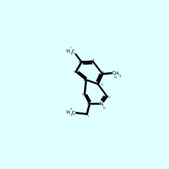 CCc1cc2cc(C)cc(C)c2cn1